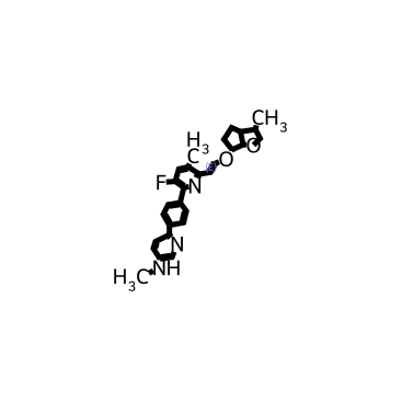 CNc1ccc(-c2ccc(-c3nc(/C=C/OC4CCC5C(C)COC45)c(C)cc3F)cc2)nc1